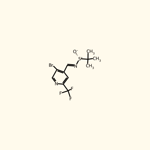 CC(C)(C)[S@@+]([O-])/N=C/c1cc(C(F)(F)F)ncc1Br